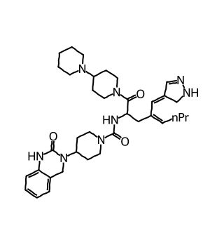 CCC/C=C(\C=C1\C=NNC1)CC(NC(=O)N1CCC(N2Cc3ccccc3NC2=O)CC1)C(=O)N1CCC(N2CCCCC2)CC1